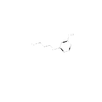 [CH]c1cccc(OCCCBr)c1